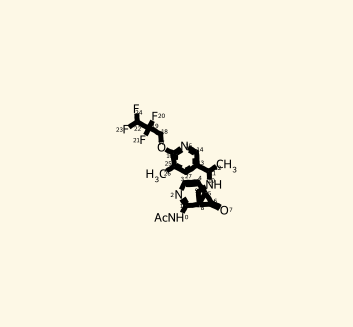 CC(=O)NC1=NC=CC2C(=O)C12CNC(C)c1cnc(OCC(F)(F)C(F)F)c(C)c1